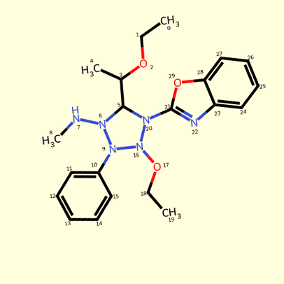 CCOC(C)C1N(NC)N(c2ccccc2)N(OCC)N1c1nc2ccccc2o1